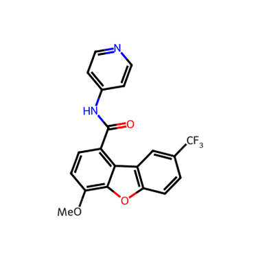 COc1ccc(C(=O)Nc2ccncc2)c2c1oc1ccc(C(F)(F)F)cc12